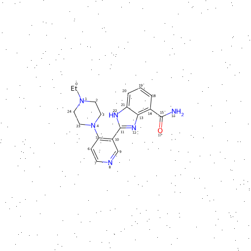 CCN1CCN(c2ccncc2-c2nc3c(C(N)=O)cccc3[nH]2)CC1